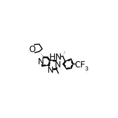 Cc1nc(N[C@H](C)c2cccc(C(F)(F)F)c2)c2cc([C@H]3CCCOC3)ncc2n1